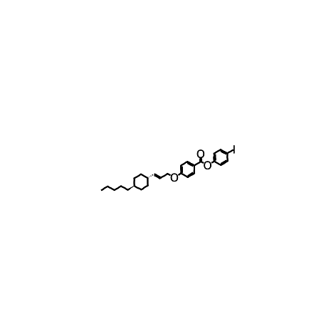 CCCCC[C@H]1CC[C@H](C=CCOc2ccc(C(=O)Oc3ccc(I)cc3)cc2)CC1